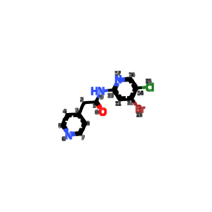 O=C(Cc1ccncc1)Nc1cc(Br)c(Cl)cn1